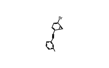 Cc1cccc(C#CC2=CC=C(Br)C3=CC23)c1